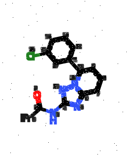 CC(C)C(=O)Nc1nc2cccc(-c3cccc(Cl)c3)n2n1